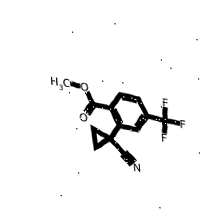 COC(=O)c1ccc(C(F)(F)F)cc1C1(C#N)CC1